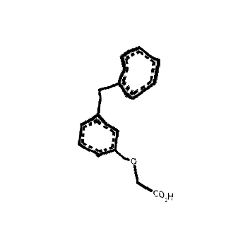 O=C(O)COc1cccc(Cc2ccccc2)c1